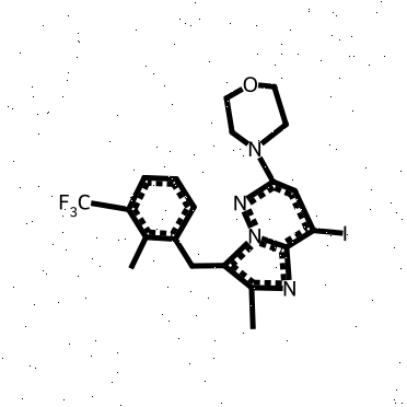 Cc1nc2c(I)cc(N3CCOCC3)nn2c1Cc1cccc(C(F)(F)F)c1C